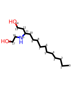 CCCCCCCCCCCC(CCO)NCCO